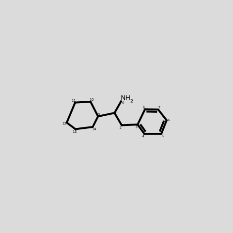 NC(Cc1ccccc1)C1CCCCC1